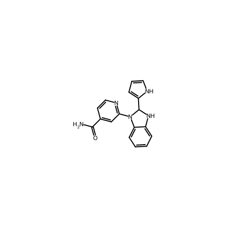 NC(=O)c1ccnc(N2c3ccccc3NC2c2ccc[nH]2)c1